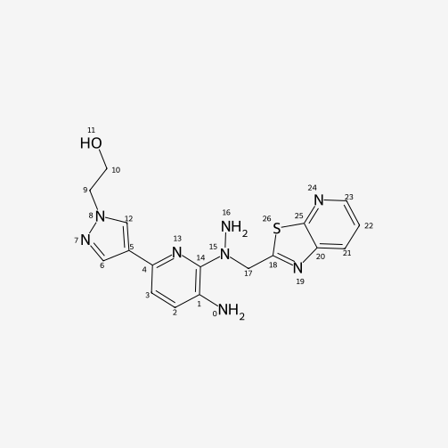 Nc1ccc(-c2cnn(CCO)c2)nc1N(N)Cc1nc2cccnc2s1